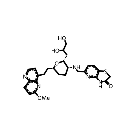 COc1ccc2nccc(CC[C@@H]3CC[C@@H](NCc4ccc5c(n4)NC(=O)CS5)[C@@H](CC(O)CO)O3)c2n1